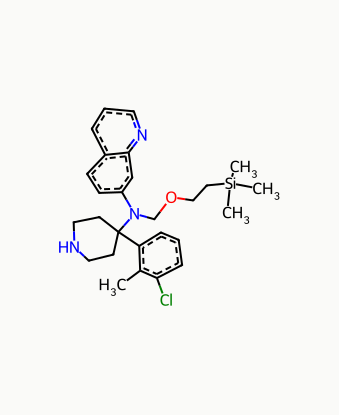 Cc1c(Cl)cccc1C1(N(COCC[Si](C)(C)C)c2ccc3cccnc3c2)CCNCC1